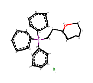 [Br-].c1ccc([P+](CCC2CCCCO2)(c2ccccc2)c2ccccc2)cc1